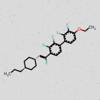 CCC[C@H]1CC[C@H](C=C(F)c2ccc(-c3ccc(OCC)c(F)c3F)c(F)c2F)CC1